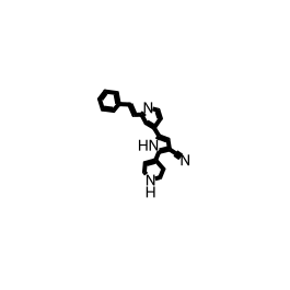 N#Cc1cc(-c2ccnc(/C=C/c3ccccc3)c2)[nH]c1C1=CCNCC1